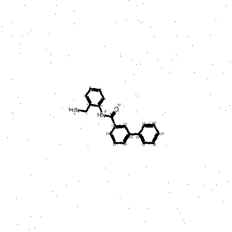 NCc1ccccc1NC(=O)c1cccc(-c2ccccc2)c1